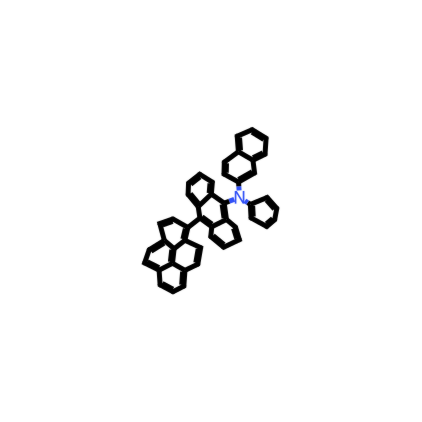 c1ccc(N(c2ccc3ccccc3c2)c2c3ccccc3c(-c3ccc4ccc5cccc6ccc3c4c56)c3ccccc23)cc1